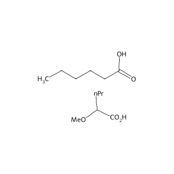 CCCC(OC)C(=O)O.CCCCCC(=O)O